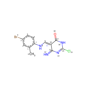 Cc1cc(Br)ccc1N/C=C1\C(=N)N=C(Cl)NC1=O